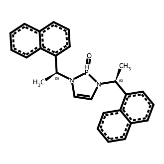 C[C@@H](c1cccc2ccccc12)N1C=CN([C@@H](C)c2cccc3ccccc23)[PH]1=O